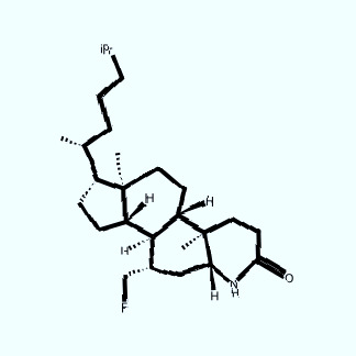 CC(C)CCC[C@@H](C)[C@H]1CC[C@H]2[C@@H]3[C@@H](CF)C[C@H]4NC(=O)CC[C@]4(C)[C@H]3CC[C@]12C